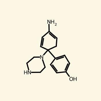 NC1=CCC(c2ccc(O)cc2)(N2CCNCC2)C=C1